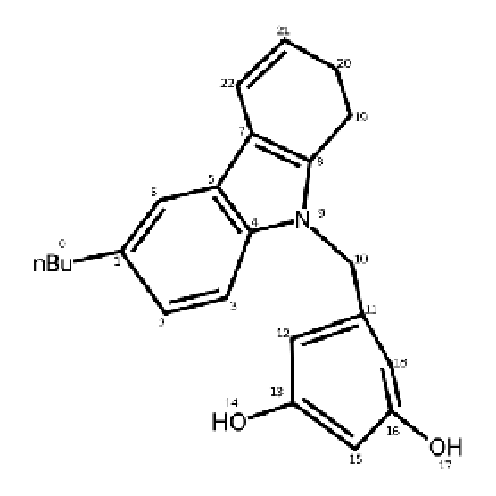 CCCCc1ccc2c(c1)c1c(n2Cc2cc(O)cc(O)c2)CCC=C1